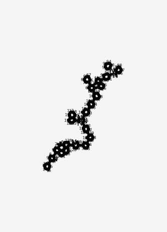 CC1(C)c2ccc(-c3ccc(-c4ccccc4)cn3)c3ccc4ccc5c(-c6ccc(-c7cccc(-c8cccc(-c9ccc(-c%10nc(-c%11ccc(-c%12ccc(-c%13cccc(-c%14ccc(-c%15ccccc%15)c%15c%14-c%14cccc%16c(-c%17ccc(-c%18nc%19ccccc%19n%18-c%18ccccc%18)cc%17)ccc-%15c%14%16)c%13)cc%12)cc%11)nc(-c%11cccc%12ccccc%11%12)n%10)cc9)c8)c7)cn6)ccc1c5c4c23